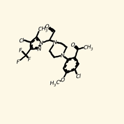 COc1cc(N2CCN(C(C=O)n3nc(C(F)(F)F)c(Cl)c3C)CC2)c(C(C)=O)cc1Cl